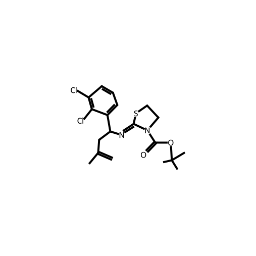 C=C(C)CC(N=C1SCCN1C(=O)OC(C)(C)C)c1cccc(Cl)c1Cl